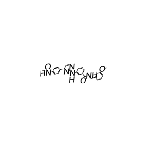 COc1cccc(CNC(=O)c2cccc(Nc3nccc(-c4ccc(NC(C)=O)cc4)n3)c2)c1